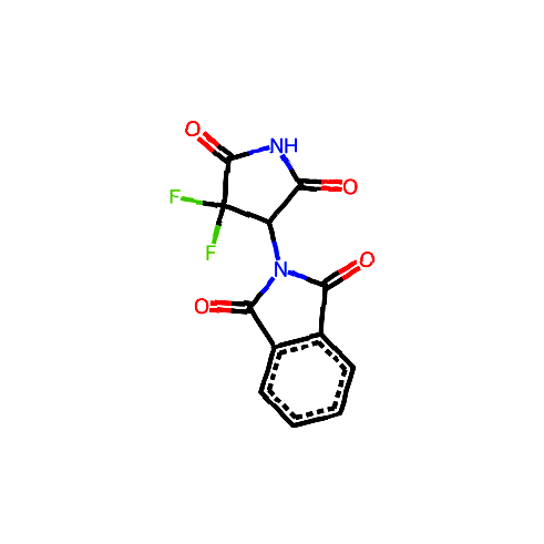 O=C1NC(=O)C(F)(F)C1N1C(=O)c2ccccc2C1=O